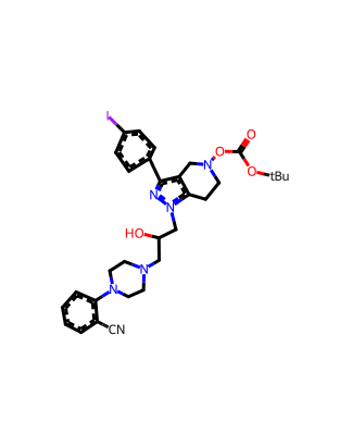 CC(C)(C)OC(=O)ON1CCc2c(c(-c3ccc(I)cc3)nn2CC(O)CN2CCN(c3ccccc3C#N)CC2)C1